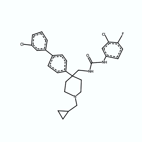 O=C(NCC1(c2ccc(-c3cccc(Cl)c3)cc2)CCN(CC2CC2)CC1)Nc1ccc(F)c(Cl)c1